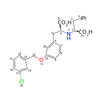 CC(C)C[C@H](N[C@@H](Cc1cccc(OCc2cccc(Cl)c2)c1)C(=O)O)C(=O)O